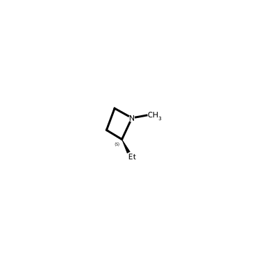 CC[C@H]1CCN1C